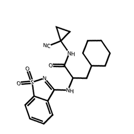 N#CC1(NC(=O)C(CC2CCCCC2)NC2=NS(=O)(=O)c3ccccc32)CC1